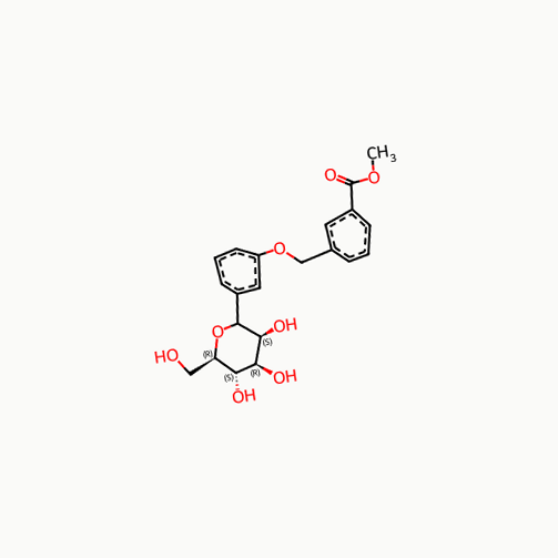 COC(=O)c1cccc(COc2cccc(C3O[C@H](CO)[C@@H](O)[C@H](O)[C@@H]3O)c2)c1